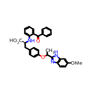 COc1ccc2nc(C(C)Oc3ccc(C[C@H](Nc4ccccc4C(=O)c4ccccc4)C(=O)O)cc3)[nH]c2c1